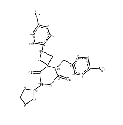 N#Cc1ccc(N2CC3(C2)C(=O)N(C2CCCC2)CC(=O)N3Cc2ccc(C(F)(F)F)cc2)nc1